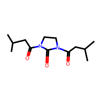 CC(C)CC(=O)N1CCN(C(=O)CC(C)C)C1=O